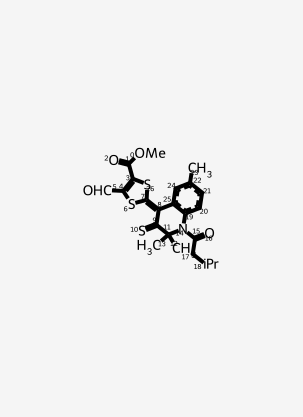 COC(=O)C1=C(C=O)S/C(=C2\C(=S)C(C)(C)N(C(=O)CC(C)C)c3ccc(C)cc32)S1